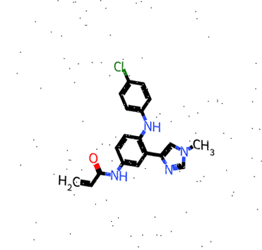 C=CC(=O)Nc1ccc(Nc2ccc(Cl)cc2)c(-c2cn(C)cn2)c1